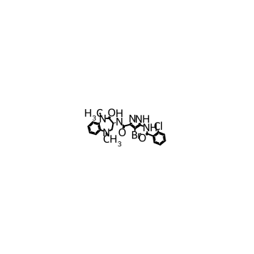 CN1C[C@@H](NC(=O)c2n[nH]c(NC(=O)c3ccccc3Cl)c2Br)C(=O)N(C)c2ccccc21